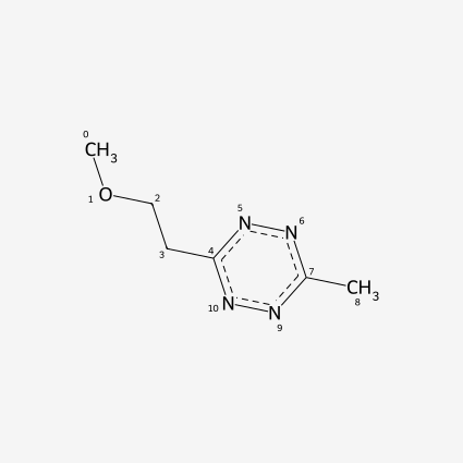 COCCc1nnc(C)nn1